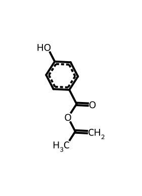 C=C(C)OC(=O)c1ccc(O)cc1